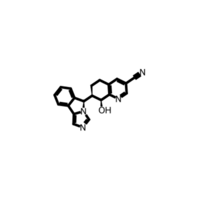 N#Cc1cnc2c(c1)CC[C@H]([C@@H]1c3ccccc3-c3cncn31)[C@@H]2O